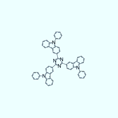 c1ccc(-n2c3ccccc3c3cc(-c4nc(-c5ccc6c(c5)c5ccccc5n6-c5ccccc5)nc(-c5ccc6c(c5)c5ccccc5n6-c5ccccc5)n4)ccc32)cc1